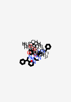 COC[C@H]1O[C@@H](N(CC(c2ccccc2)c2ccccc2)n2cnc3cnc(CCNCc4ccccc4)nc32)[C@@H](O[Si](C)(C)C(C)(C)C)[C@@H]1O[Si](C)(C)C(C)(C)C